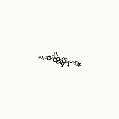 CC1(C)C(c2ccc(C(=O)O)cc2)=CC[C@]2(C)CN(C(=O)c3cscc3C(=O)NCCCN3CCS(=O)(=O)CC3)CC=C12